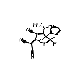 CC(C)C1=C(C#N)C(=C(C#N)C#N)OC1(c1ccccc1)C(F)(F)F